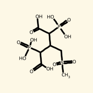 CS(=O)(=O)CC(C(C(=O)O)P(=O)(O)O)C(C(=O)O)P(=O)(O)O